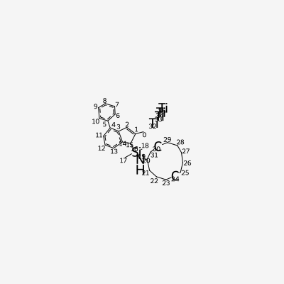 CC1=Cc2c(-c3ccccc3)cccc2C1[Si](C)(C)NC1CCCCCCCCCCC1.[Ti].[Ti].[Ti].[Ti]